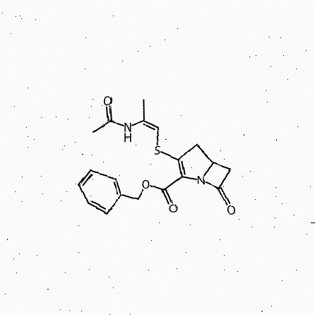 CC(=O)N/C(C)=C\SC1=C(C(=O)OCc2ccccc2)N2C(=O)CC2C1